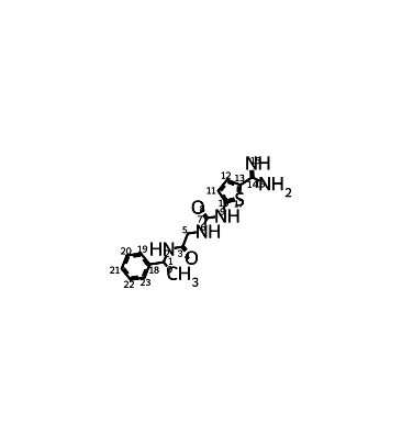 CC(NC(=O)CNC(=O)Nc1ccc(C(=N)N)s1)c1ccccc1